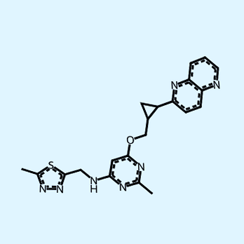 Cc1nc(NCc2nnc(C)s2)cc(OCC2CC2c2ccc3ncccc3n2)n1